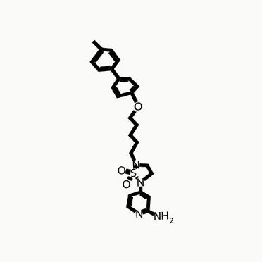 Cc1ccc(-c2ccc(OCCCCCN3CCN(c4ccnc(N)c4)S3(=O)=O)cc2)cc1